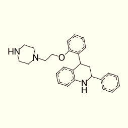 c1ccc(C2CC(c3ccccc3OCCN3CCNCC3)c3ccccc3N2)cc1